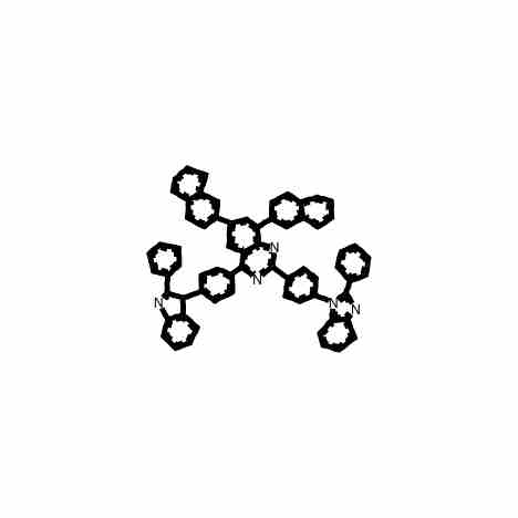 c1ccc(C2=Nc3ccccc3C2c2ccc(-c3nc(-c4ccc(-n5c(-c6ccccc6)nc6ccccc65)cc4)nc4c(-c5ccc6ccccc6c5)cc(-c5ccc6ccccc6c5)cc34)cc2)cc1